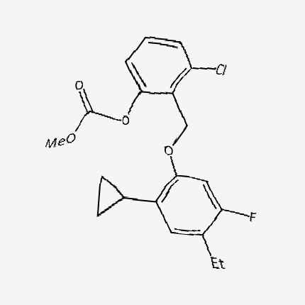 CCc1cc(C2CC2)c(OCc2c(Cl)cccc2OC(=O)OC)cc1F